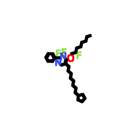 CCCCCCC(F)COC1=C(CCCCCCCCC2CCCC2)C=NC(F)(c2ccccc2)N1F